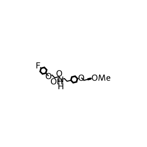 COC#CCOc1ccc(CCNC(=O)C(O)COc2ccc(F)cc2)cc1